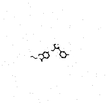 O=C1c2ccc(OCc3c[nH]nc3-c3cccc(C(F)(F)F)c3)cc2CN1CCC(F)(F)F